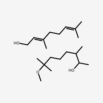 CC(C)=CCC/C(C)=C/CO.COC(C)(C)CCCC(C)C(C)O